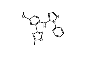 COc1ccc(Nc2ccnn2-c2ccccc2)c(-c2noc(C)n2)c1